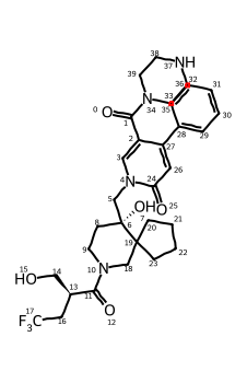 O=C(c1cn(C[C@]2(O)CCN(C(=O)[C@H](CO)CC(F)(F)F)CC23CCCC3)c(=O)cc1-c1ccccc1)N1CCNCC1